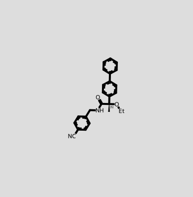 CCO[C@](C)(C(=O)NCc1ccc(C#N)cc1)c1ccc(-c2ccccc2)cc1